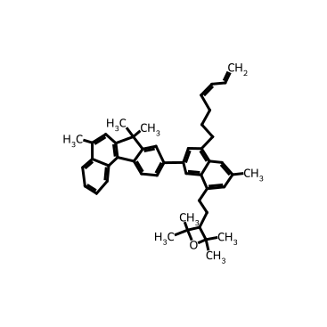 C=C/C=C\CCCc1cc(-c2ccc3c(c2)C(C)(C)c2cc(C)c4ccccc4c2-3)cc2c(CCC3C(C)(C)OC3(C)C)cc(C)cc12